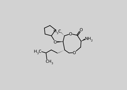 CC(C)CC[C@H]1COC[C@H](N)C(=O)O[C@@H](C)[C@@H]1OC1CCCC1